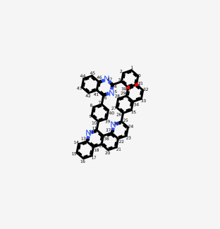 c1ccc(-c2nc(-c3ccc(-c4nc5ccccc5c5ccc6ccc(-c7ccc8ccccc8c7)nc6c45)cc3)c3ccccc3n2)cc1